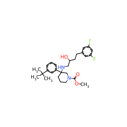 COC(=O)N1CCCC(NCC(O)CCc2cc(F)cc(F)c2)(c2cccc(C(C)(C)C)c2)C1